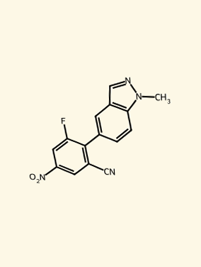 Cn1ncc2cc(-c3c(F)cc([N+](=O)[O-])cc3C#N)ccc21